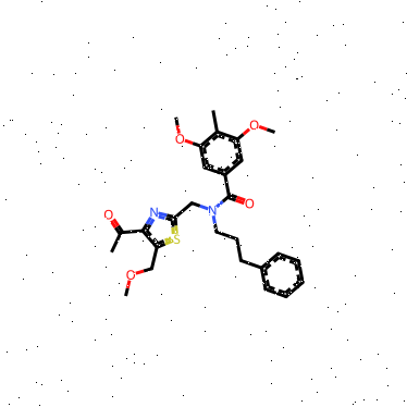 COCc1sc(CN(CCCc2ccccc2)C(=O)c2cc(OC)c(C)c(OC)c2)nc1C(C)=O